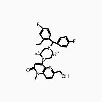 CCc1cc(F)ccc1C(c1ccc(F)cc1)N1C[C@H](C)N(c2cc(=O)n(C)c3ccc(CO)nc23)C[C@H]1C